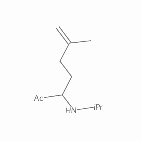 C=C(C)CCC(NC(C)C)C(C)=O